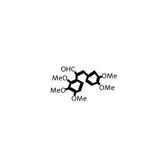 COc1ccc(/C=C(/C=O)c2ccc(OC)c(OC)c2OC)cc1OC